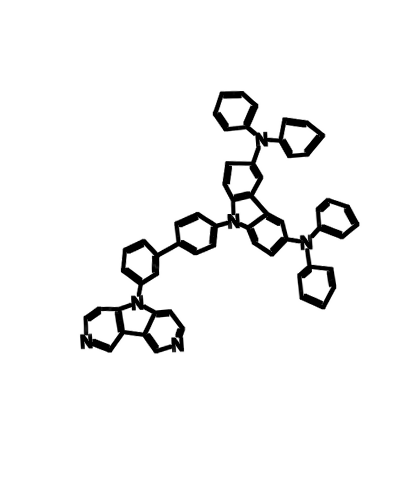 c1ccc(N(c2ccccc2)c2ccc3c(c2)c2cc(N(c4ccccc4)c4ccccc4)ccc2n3-c2ccc(-c3cccc(-n4c5ccncc5c5cnccc54)c3)cc2)cc1